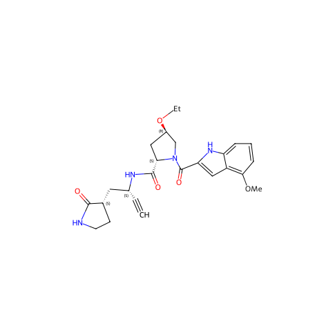 C#C[C@H](C[C@@H]1CCNC1=O)NC(=O)[C@@H]1C[C@@H](OCC)CN1C(=O)c1cc2c(OC)cccc2[nH]1